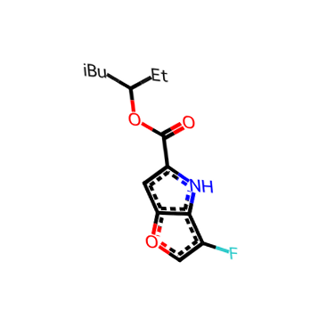 CCC(C)C(CC)OC(=O)c1cc2occ(F)c2[nH]1